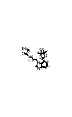 CC(C)(C)OC(=O)NCCCn1cnc2cccc(B3OC(C)(C)C(C)(C)O3)c21